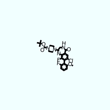 COc1cccc(F)c1-c1c(Cl)cc2c(c1F)N=C(N1CCN(C(=O)OC(C)(C)C)CC1)CNC2=O